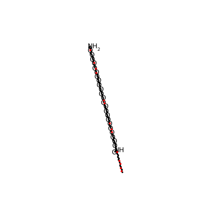 CCCCCCCCCCCCCCCC(=O)NCCOCCOCCOCCOCCOCCOCCOCCOCCOCCOCCOCCOCCOCCOCCOCCOCCOCCOCCOCCOCCOCCOCCOCCN